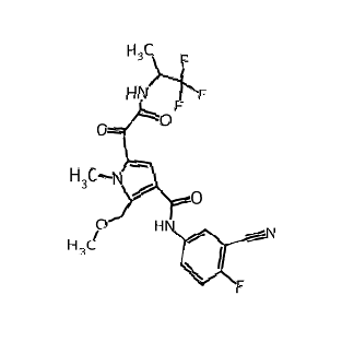 COCc1c(C(=O)Nc2ccc(F)c(C#N)c2)cc(C(=O)C(=O)NC(C)C(F)(F)F)n1C